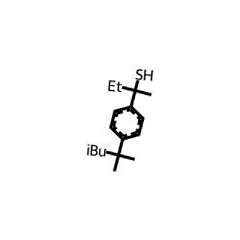 CCC(C)C(C)(C)c1ccc(C(C)(S)CC)cc1